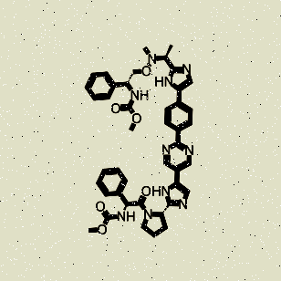 COC(=O)N[C@@H](CON(C)[C@@H](C)c1ncc(-c2ccc(-c3ncc(-c4cnc([C@@H]5CCCN5C(=O)[C@H](NC(=O)OC)c5ccccc5)[nH]4)cn3)cc2)[nH]1)c1ccccc1